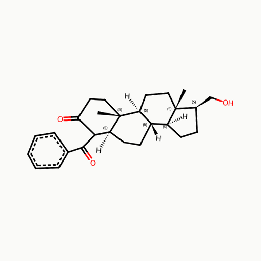 C[C@]12CCC(=O)C(C(=O)c3ccccc3)[C@@H]1CC[C@@H]1[C@@H]2CC[C@]2(C)[C@@H](CO)CC[C@@H]12